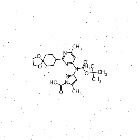 Cc1cc(N(C(=O)OC(C)(C)C)c2cc(C)n(C(=O)O)n2)nc(C2CCC3(CC2)OCCO3)n1